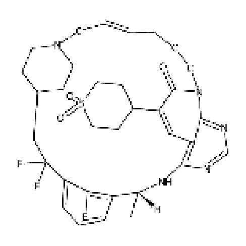 C[C@H]1Nc2ncnc3c2cc(C2CCS(=O)(=O)CC2)c(=O)n3CCC/C=C/CN2CCC(CC2)CC(F)(F)c2cccc1c2F